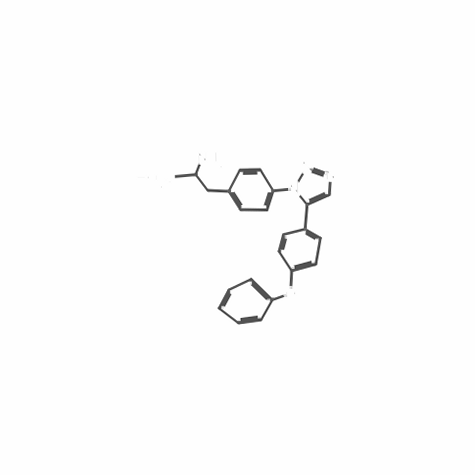 NC(Cc1ccc(-n2nncc2-c2ccc(Oc3ccccc3)cc2)cc1)C(=O)O